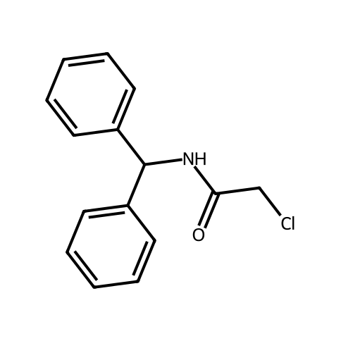 O=C(CCl)NC(c1ccccc1)c1ccccc1